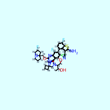 CC(O)C1COc2c(Cl)c(-c3ccc(F)c4sc(N)c(C#N)c34)c(F)c3nc(OC[C@@]45CCCN4C[C@H](F)C5)nc(c23)N1CC1(N(C)C)CCC1